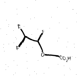 O=C(O)OC(F)C(F)F